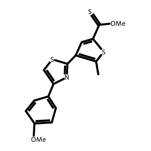 COC(=S)c1cc(-c2nc(-c3ccc(OC)cc3)cs2)c(C)s1